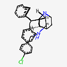 Clc1ccc(CN[C@@H]2C3CCN(CC3)[C@H]2C(c2ccccc2)c2ccccc2)cc1